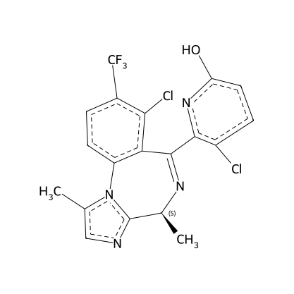 Cc1cnc2n1-c1ccc(C(F)(F)F)c(Cl)c1C(c1nc(O)ccc1Cl)=N[C@H]2C